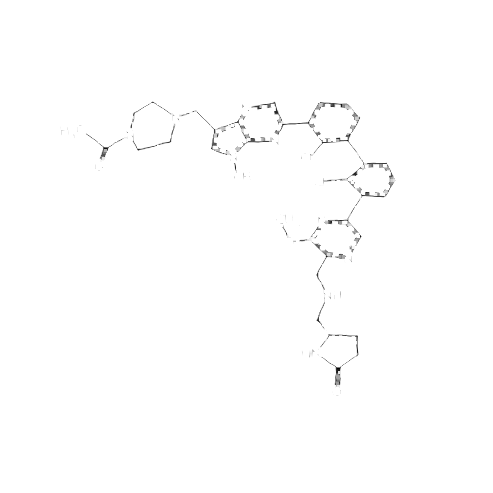 COc1nc(-c2cccc(-c3cccc(-c4cnc5c(CN6CCN(C(C)=O)CC6)cn(C)c5n4)c3Cl)c2Cl)cnc1CNC[C@H]1CCC(=O)N1